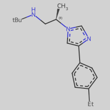 CCc1ccc(-c2cn([C@H](C)CNC(C)(C)C)cn2)cc1